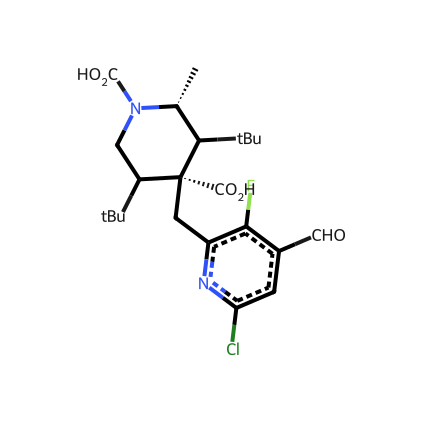 C[C@@H]1C(C(C)(C)C)[C@](Cc2nc(Cl)cc(C=O)c2F)(C(=O)O)C(C(C)(C)C)CN1C(=O)O